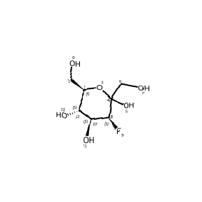 OC[C@H]1OC(O)(CO)[C@@H](F)[C@@H](O)[C@@H]1O